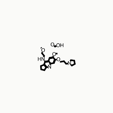 COCCNc1c2c(nc3cc(OCCCN4CCCC4)c(OC)cc13)CCC2.O=CO